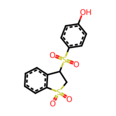 O=S1(=O)CC(S(=O)(=O)c2ccc(O)cc2)c2ccccc21